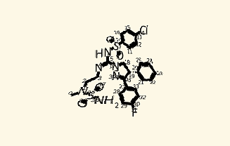 CN(CC/N=C(/NS(=O)(=O)c1ccc(Cl)cc1)N1C[C@H](c2ccccc2)C(c2ccc(F)cc2)=N1)S(N)(=O)=O